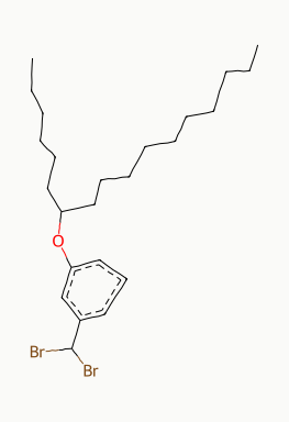 CCCCCCCCCCC(CCCCCC)Oc1cccc(C(Br)Br)c1